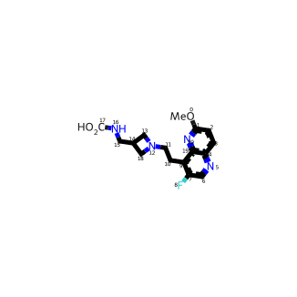 COc1ccc2ncc(F)c(CCN3CC(CNC(=O)O)C3)c2n1